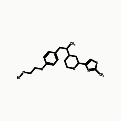 CCOCCOc1ccc(CC(C)N2CCOC(c3csc(C(F)(F)F)n3)C2)cc1